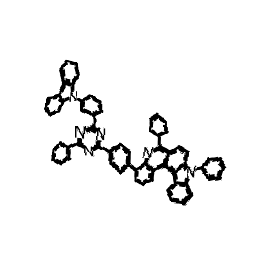 c1ccc(-c2nc(-c3ccc(-c4cccc5c4nc(-c4ccccc4)c4ccc6c(c7ccccc7n6-c6ccccc6)c45)cc3)nc(-c3cccc(-n4c5ccccc5c5ccccc54)c3)n2)cc1